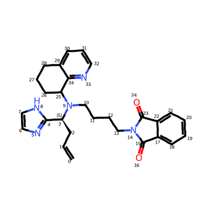 C=CC[C@@H](c1ncc[nH]1)N(CCCCN1C(=O)c2ccccc2C1=O)C1CCCc2cccnc21